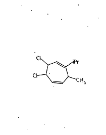 CC(C)C1=CC(Cl)C(Cl)C=CC1C